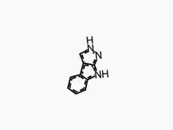 c1ccc2c(c1)[nH]c1n[nH]cc12